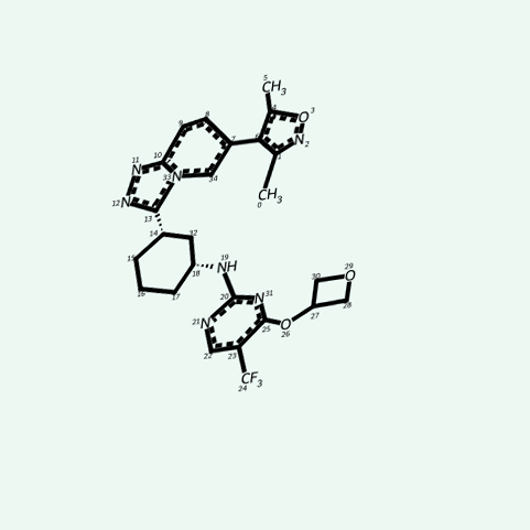 Cc1noc(C)c1-c1ccc2nnc([C@H]3CCC[C@@H](Nc4ncc(C(F)(F)F)c(OC5COC5)n4)C3)n2c1